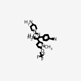 CC(/N=C(\C(=C/N)C1=CC=C(OCC(F)(F)F)N(C)C1)c1ccc(C#N)cc1)N1CCC(N)CC1